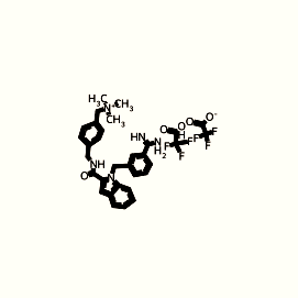 C[N+](C)(C)Cc1ccc(CNC(=O)c2cc3ccccc3n2Cc2cccc(C(=N)N)c2)cc1.O=C(O)C(F)(F)F.O=C([O-])C(F)(F)F